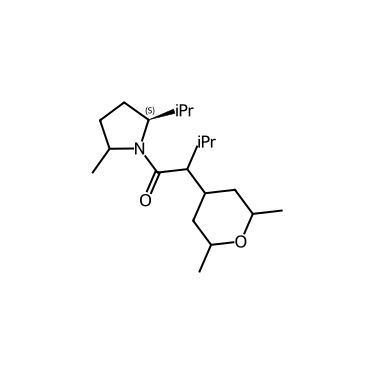 CC1CC(C(C(=O)N2C(C)CC[C@H]2C(C)C)C(C)C)CC(C)O1